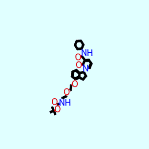 CC(C)(C)OC(=O)NCCOCCOc1cccc2c1CCC2n1cccc(C(=O)NC2CCCCC2)c1=O